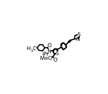 COC(=O)c1sc(-c2ccc(C#CC3CSC=N3)cc2)cc1N(C(=O)C1CCC(C)CC1)C(C)C